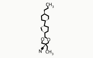 CCC[C@H]1CC[C@H]([C@H]2CC[C@@H]([C@H]3OC[C@@](C#N)(CC)CO3)CC2)CC1